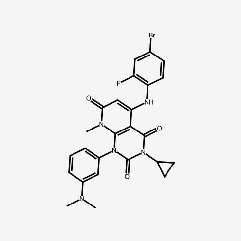 CN(C)c1cccc(-n2c(=O)n(C3CC3)c(=O)c3c(Nc4ccc(Br)cc4F)cc(=O)n(C)c32)c1